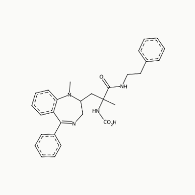 CN1c2ccccc2C(c2ccccc2)=NCC1CC(C)(NC(=O)O)C(=O)NCCc1ccccc1